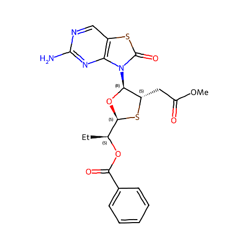 CC[C@H](OC(=O)c1ccccc1)[C@H]1O[C@@H](n2c(=O)sc3cnc(N)nc32)[C@H](CC(=O)OC)S1